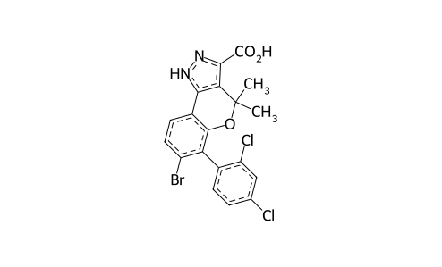 CC1(C)Oc2c(ccc(Br)c2-c2ccc(Cl)cc2Cl)-c2[nH]nc(C(=O)O)c21